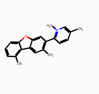 Cc1ccc(-c2cc3oc4cccc(C#N)c4c3cc2C)[n+](C)c1